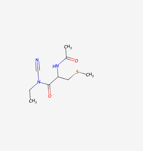 CCN(C#N)C(=O)C(CSC)NC(C)=O